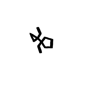 C=CC1(C2(C=C)CC2)CC=CC1